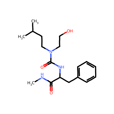 CNC(=O)C(Cc1ccccc1)NC(=O)N(CCO)CCC(C)C